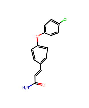 NC(=O)C=Cc1ccc(Oc2ccc(Cl)cc2)cc1